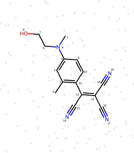 Cc1cc(N(C)CCO)ccc1C(C#N)=C(C#N)C#N